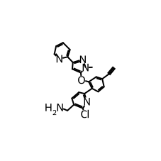 C#Cc1ccc(-c2ccc(CN)c(Cl)n2)c(Oc2cc(-c3ccccn3)nn2C)c1